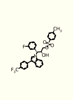 Cc1ccc(S(=O)(=O)OC[C@@H](O)[C@H](c2cccc(F)c2)n2cc(-c3ccc(C(F)(F)F)cc3)c3ccccc32)cc1